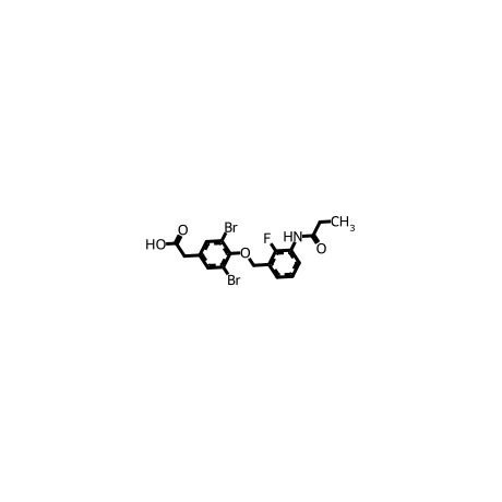 CCC(=O)Nc1cccc(COc2c(Br)cc(CC(=O)O)cc2Br)c1F